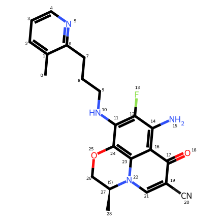 Cc1cccnc1CCCNc1c(F)c(N)c2c(=O)c(C#N)cn3c2c1OC[C@@H]3C